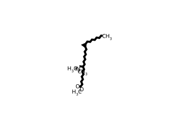 CCCCCCCCC1CC1CCCCCCCC(CCCCCCCC(=O)OC)CN(C)C